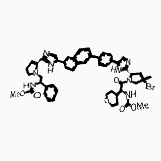 COC(=O)NC(CN1CCC[C@H]1c1ncc(-c2ccc3cc(-c4ccc(-c5cnc([C@@H]6CC(C)(Br)CN6C(=O)[C@@H](NC(=O)OC)C6CCOCC6)[nH]5)cc4)ccc3c2)[nH]1)c1ccccc1